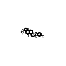 C[C@]12CCC(=O)N(Cc3ccc(Cl)cc3)C1CC[C@@H]1[C@@H]2C(=O)C[C@]2(C)C(=O)CC[C@@H]12